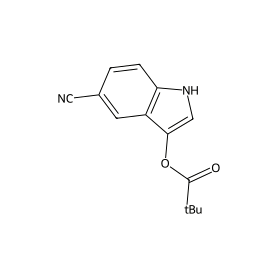 CC(C)(C)C(=O)Oc1c[nH]c2ccc(C#N)cc12